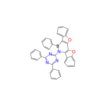 c1ccc(B2c3c(oc4ccccc34)-c3oc4ccccc4c3N2c2nc(-c3ccccc3)nc(-c3ccccc3)n2)cc1